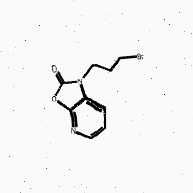 O=c1oc2ncccc2n1CCCBr